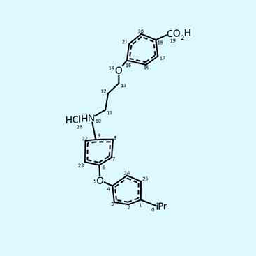 CC(C)c1ccc(Oc2ccc(NCCCOc3ccc(C(=O)O)cc3)cc2)cc1.Cl